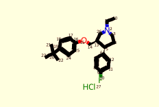 CCN1CC[C@H](c2ccc(F)cc2)[C@@H](COc2ccc(C(C)(C)C)cc2)C1.Cl